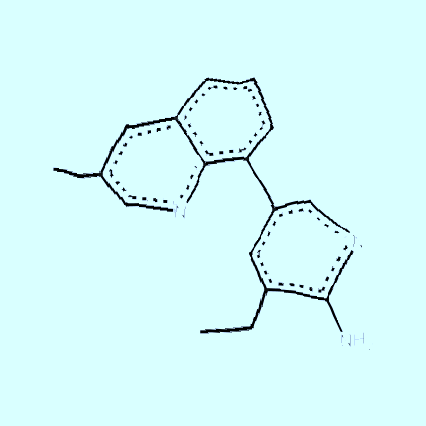 CCc1cc(-c2cccc3cc(C)cnc23)cnc1N